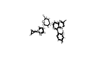 Cc1cnc2c(-c3ccc(F)cc3F)nc([C@H]3C[C@H](C)O[C@@H](c4cnn(C5CC5)c4)C3)cc2n1